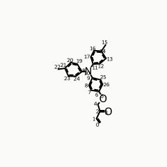 C=CC(=O)COc1ccc(N(c2ccc(C)cc2)c2ccc(C)cc2)cc1